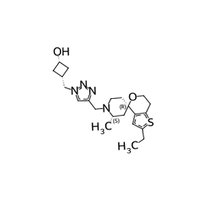 CCc1cc2c(s1)CCO[C@@]21CCN(Cc2cn(C[C@H]3C[C@@H](O)C3)nn2)[C@@H](C)C1